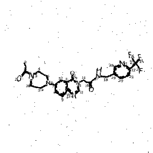 CC(=O)N1CCN(c2ccc3ncn(CC(=O)NCc4ccc(C(F)(F)F)nc4)c(=O)c3c2)CC1